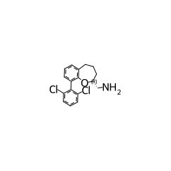 NC[C@H]1CCCc2cccc(-c3c(Cl)cccc3Cl)c2O1